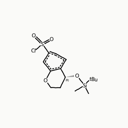 CC(C)(C)[Si](C)(C)O[C@@H]1CCOc2cc(S(=O)(=O)Cl)ccc21